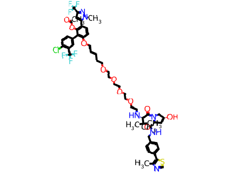 CC(=O)Oc1c(-c2cc(C(F)(F)F)nn2C)ccc(OCCCCCOCCOCCOCCOCCN[C@H](C(=O)N2C[C@H](O)C[C@H]2C(=O)NCc2ccc(-c3scnc3C)cc2)C(C)(C)C)c1-c1ccc(Cl)c(C(F)(F)F)c1